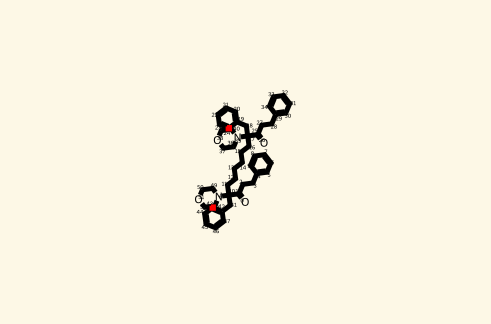 O=C(CCc1ccccc1)C(CCCCCCC(Cc1ccccc1)(C(=O)CCc1ccccc1)N1CCOCC1)(Cc1ccccc1)N1CCOCC1